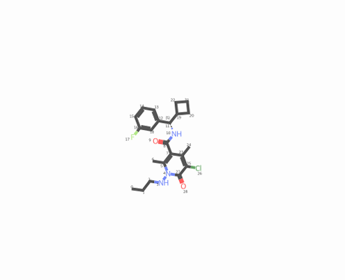 CCCNn1c(C)c(C(=O)N[C@H](c2cccc(F)c2)C2CCC2)c(C)c(Cl)c1=O